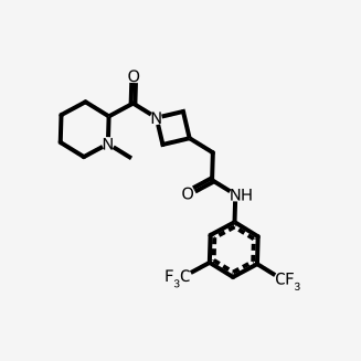 CN1CCCCC1C(=O)N1CC(CC(=O)Nc2cc(C(F)(F)F)cc(C(F)(F)F)c2)C1